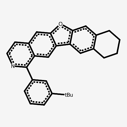 CC(C)(C)c1cccc(-c2nccc3cc4oc5cc6c(cc5c4cc23)CCCC6)c1